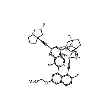 COCOc1cc(-c2ncc3c(N4C[C@H]5CC[C@@H](C4)N5C(=O)O)cc(C#C[C@@]45CCCN4C[C@H](F)C5)nc3c2F)c2c(C#C[Si](C(C)C)(C(C)C)C(C)C)c(F)ccc2c1